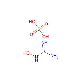 N=C(N)NO.O=S(=O)(O)O